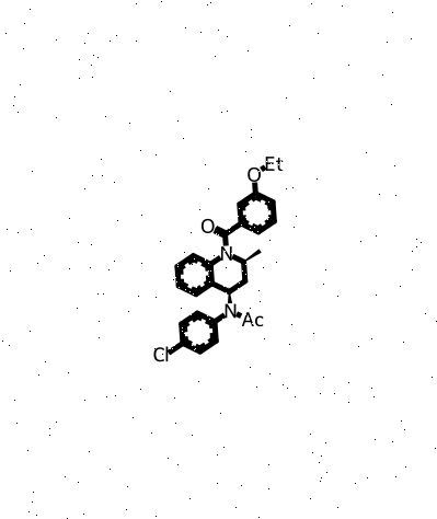 CCOc1cccc(C(=O)N2c3ccccc3[C@H](N(C(C)=O)c3ccc(Cl)cc3)C[C@@H]2C)c1